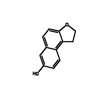 Oc1ccc2c3c(ccc2c1)OCC3